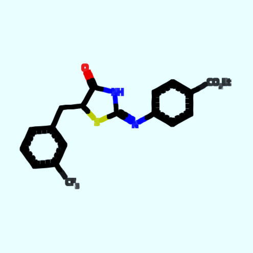 CCOC(=O)c1ccc(/N=C2\NC(=O)C(Cc3cccc(C(F)(F)F)c3)S2)cc1